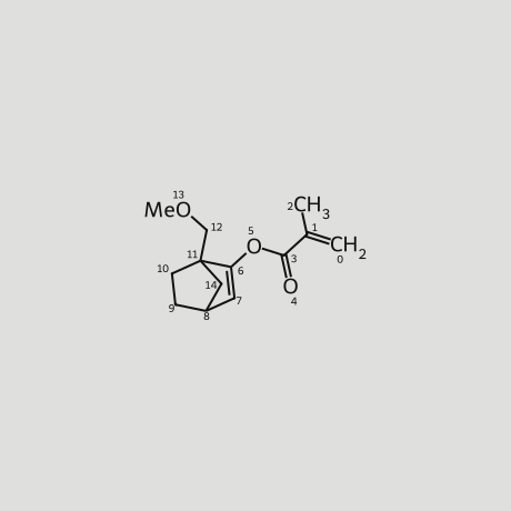 C=C(C)C(=O)OC1=CC2CCC1(COC)C2